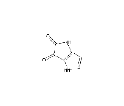 O=C1Nc2cc[nH]c2C1=O